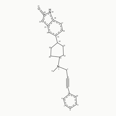 CN(CC#Cc1ccccc1)C1CCC(c2ccc3[nH]c(=O)oc3c2)CC1